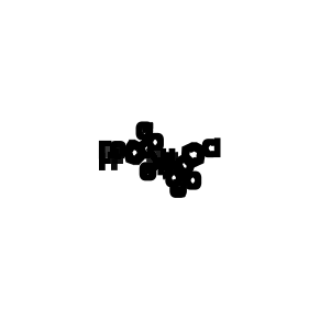 COC(=O)c1cc(OC(F)(F)F)ccc1NC(=O)N1COC2(C(=O)OC)Cc3cc(Cl)ccc3C2=N1